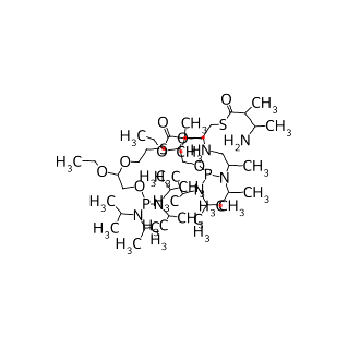 CCOC(COP(N(C(C)C)C(C)C)N(C(C)C)C(C)C)OCCSC(=O)C(C)(C)CNCC(C)N(C(C)C)P(OCC(OCC)OCCSC(=O)C(C)C(C)N)N(C(C)C)C(C)C